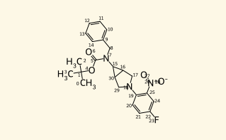 CC(C)(C)OC(=O)N(Cc1ccccc1)C1C2CN(c3ccc(F)cc3[N+](=O)[O-])CC21